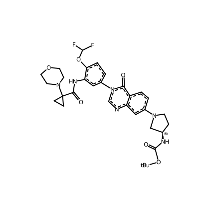 CC(C)(C)OC(=O)N[C@@H]1CCN(c2ccc3c(=O)n(-c4ccc(OC(F)F)c(NC(=O)C5(N6CCOCC6)CC5)c4)cnc3c2)C1